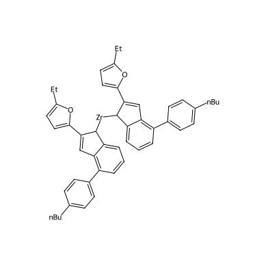 CCCCc1ccc(-c2cccc3c2C=C(c2ccc(CC)o2)[CH]3[Zr][CH]2C(c3ccc(CC)o3)=Cc3c(-c4ccc(CCCC)cc4)cccc32)cc1